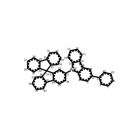 c1ccc(-c2ccc3c(c2)c2ccccc2n3-c2ccc3c(c2)C2(c4ccccc4-c4ccccc42)c2ccccc2-3)cc1